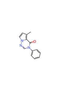 Cc1ccn2ncn(-c3ccccc3)c(=O)c12